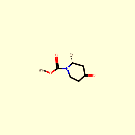 CC[C@@H]1CC(=O)CCN1C(=O)OC(C)C